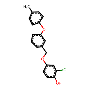 Cc1ccc(Oc2cccc(COc3ccc(O)c(Cl)c3)c2)cc1